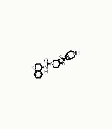 O=C(N[C@H]1CCOc2ccccc21)N1CCc2nc(N3C4CCC3CNC4)sc2C1